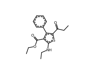 CCNc1sc(C(=O)CC)c(-c2ccccc2)c1C(=O)OCC